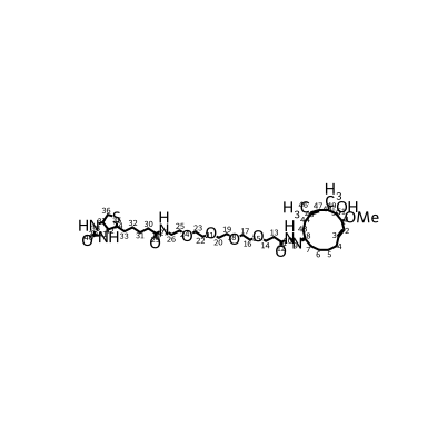 CO[C@H]1/C=C/CCCCC(=NNC(=O)CCOCCOCCOCCOCCNC(=O)CCCCC2SCC3NC(=O)NC32)CC/C(C)=C\[C@@H](C)[C@@H]1O